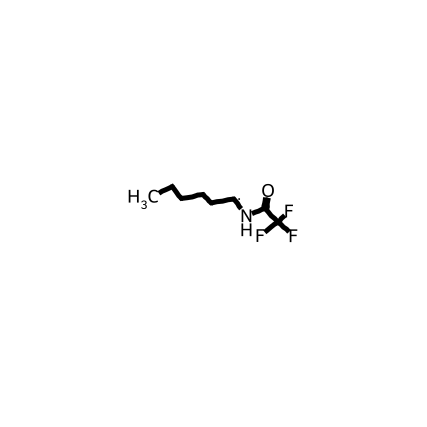 CCCCC[CH]NC(=O)C(F)(F)F